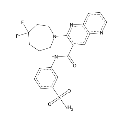 NS(=O)(=O)c1cccc(NC(=O)c2cc3ncccc3nc2N2CCCC(F)(F)CC2)c1